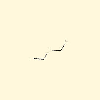 C[C]COCCC